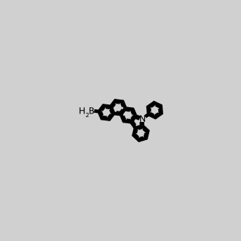 Bc1ccc2c(ccc3cc4c(cc32)c2ccccc2n4-c2ccccc2)c1